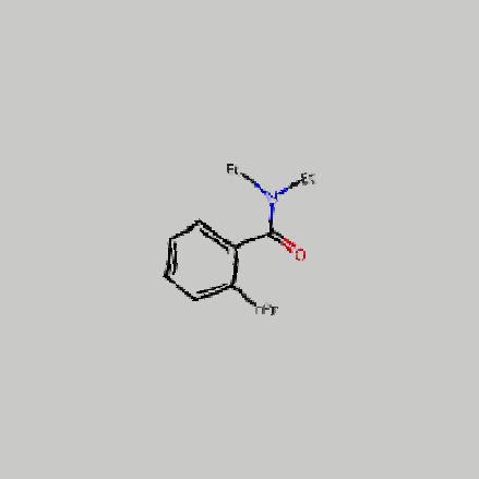 CCCc1ccccc1C(=O)N(CC)CC